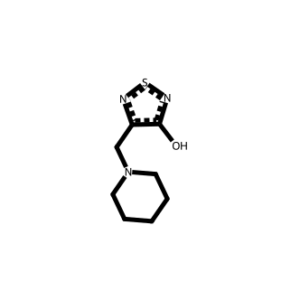 Oc1nsnc1CN1CCCCC1